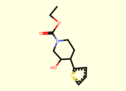 CCOC(=O)N1CCC(c2cccs2)C(O)C1